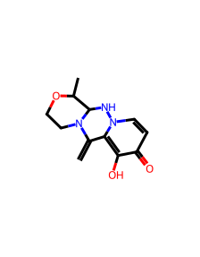 C=C1c2c(O)c(=O)ccn2NC2C(C)OCCN12